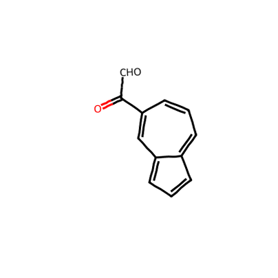 O=CC(=O)c1cccc2cccc-2c1